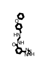 O=C(NCCNCc1ccc(Oc2ccccc2)cc1)c1cccc(-c2nn[nH]n2)c1